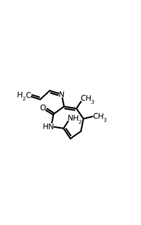 C=C/C=N\C1=C(/C)C(C)C/C=C(\N)NC1=O